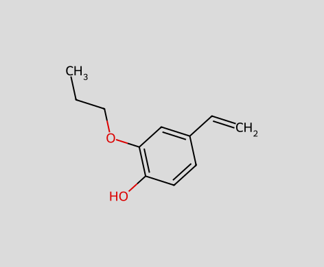 C=Cc1ccc(O)c(OCCC)c1